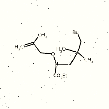 C=C(C)CON(CC(C)(C)CC(C)CC)C(=O)OCC